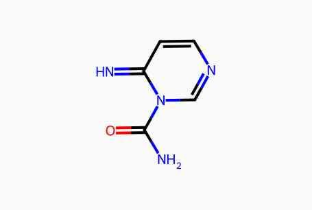 N=c1ccncn1C(N)=O